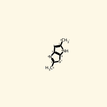 [CH2]c1cc2nc(C)sc2[nH]1